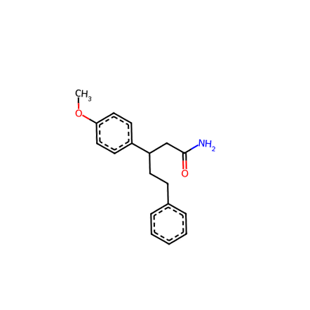 COc1ccc(C(CCc2ccccc2)CC(N)=O)cc1